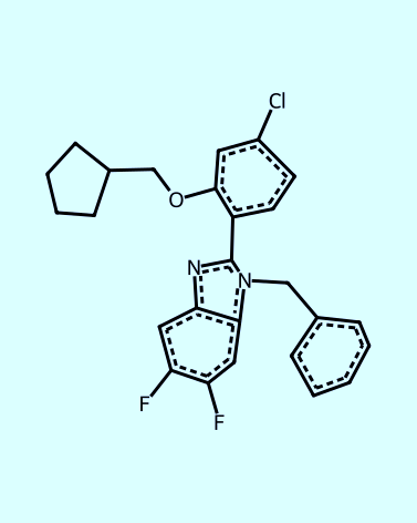 Fc1cc2nc(-c3ccc(Cl)cc3OCC3CCCC3)n(Cc3ccccc3)c2cc1F